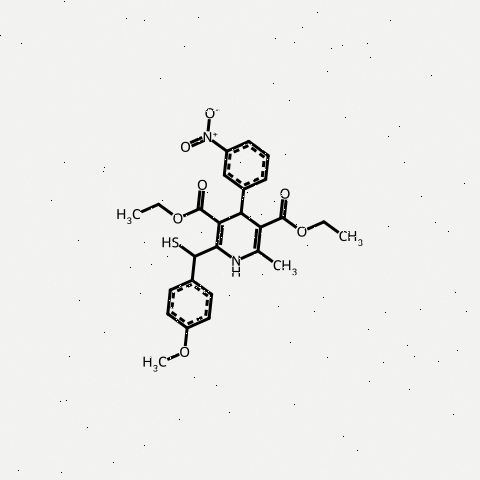 CCOC(=O)C1=C(C)NC(C(S)c2ccc(OC)cc2)=C(C(=O)OCC)C1c1cccc([N+](=O)[O-])c1